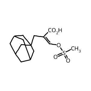 CS(=O)(=O)OC=C(CC12CC3CC(CC(C3)C1)C2)C(=O)O